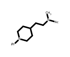 CC(=O)N(C)CCC1CCN(C(C)C)CC1